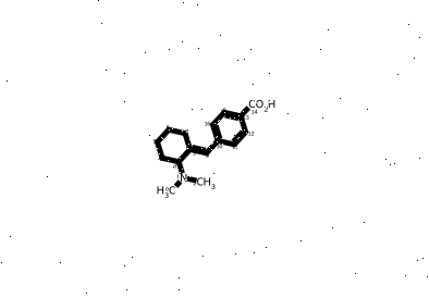 CN(C)C1CCCC/C1=C\c1ccc(C(=O)O)cc1